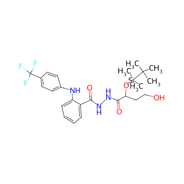 CC(C)(C)[Si](C)(C)OC(CCO)C(=O)NNC(=O)c1ccccc1Nc1ccc(C(F)(F)F)cc1